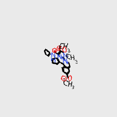 COC(=O)c1ccc2c(c1)CCN(c1nc(C(=O)Nc3ccccc3)c(OC)c(=O)n1C)C2c1ccccc1